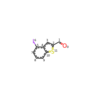 O=Cc1cc2c(I)cccc2s1